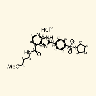 COCCCNC(=O)c1ccnc2[nH]c(-c3ccc(S(=O)(=O)N4CCCC4)cc3)nc12.Cl